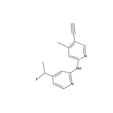 C#Cc1cnc(Nc2cc(C(C)F)ccn2)cc1C